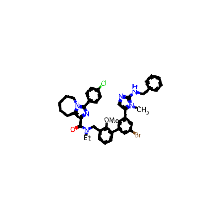 CCN(Cc1cccc(-c2cc(Br)cc(-c3cnc(NCc4ccccc4)n3C)c2)c1OC)C(=O)c1nc(-c2ccc(Cl)cc2)n2c1CCCCC2